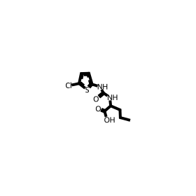 CCCC(NC(=O)Nc1ccc(Cl)s1)C(=O)O